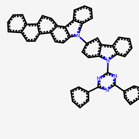 c1ccc(-c2nc(-c3ccccc3)nc(-n3c4ccccc4c4cc(-n5c6ccccc6c6c7ccc8c9ccccc9ccc8c7ccc65)ccc43)n2)cc1